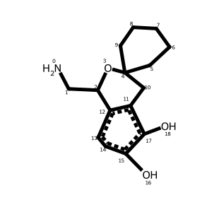 NCC1OC2(CCCCC2)Cc2c1ccc(O)c2O